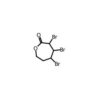 O=C1OCCC(Br)C(Br)C1Br